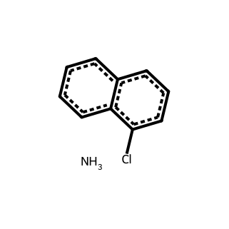 Clc1cccc2ccccc12.N